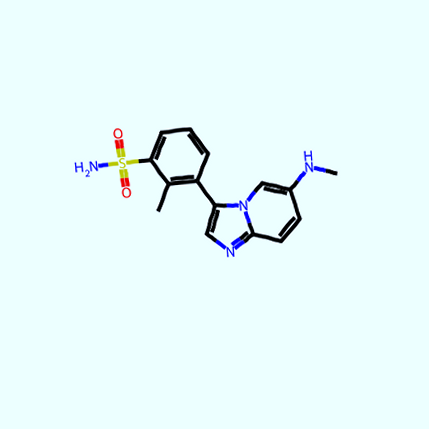 CNc1ccc2ncc(-c3cccc(S(N)(=O)=O)c3C)n2c1